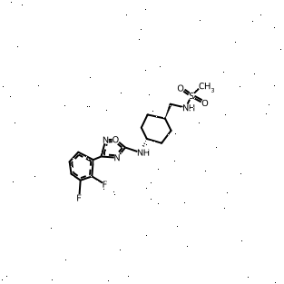 CS(=O)(=O)NC[C@H]1CC[C@H](Nc2nc(-c3cccc(F)c3F)no2)CC1